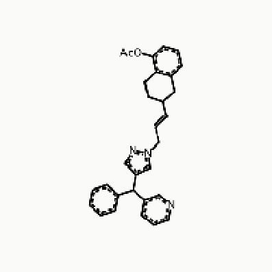 CC(=O)Oc1cccc2c1CCC(C=CCn1cc(C(c3ccccc3)c3cccnc3)cn1)C2